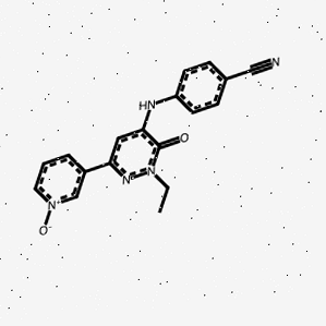 CCn1nc(-c2ccc[n+]([O-])c2)cc(Nc2ccc(C#N)cc2)c1=O